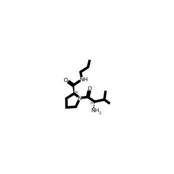 CCCNC(=O)[C@@H]1CCCN1C(=O)[C@@H](N)C(C)C